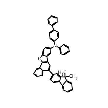 CC1(C)c2ccccc2-c2ccc(-c3cc4c5cc(N(c6ccccc6)c6ccc(-c7ccccc7)cc6)ccc5oc4c4ccccc34)cc21